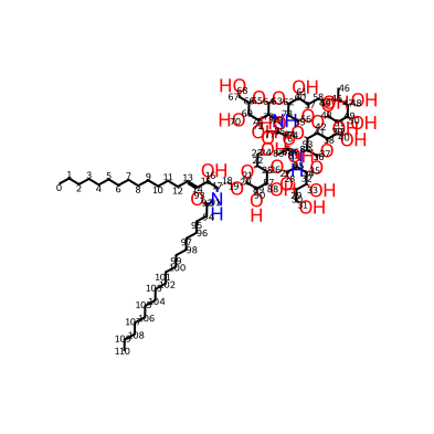 CCCCCCCCCCCCC/C=C/[C@@H](O)[C@H](CO[C@@H]1OC(CO)[C@@H](O[C@@H]2OC(CO)[C@H](O)[C@H](O[C@@H]3OC(CO)[C@@H](O[C@H]4OC(C)[C@@H](O)C(O)[C@@H]4O)[C@H](O[C@@H]4OC(CO)[C@H](O)[C@H](O[C@@H]5OC(CO)[C@@H](O)[C@H](O)C5NC(C)=O)C4O)C3NC(C)=O)C2O)[C@H](O)C1O)NC(=O)CCCCCCCCCCCCCCCCC